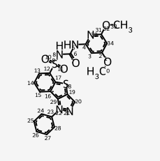 COc1cc(NC(=O)NS(=O)(=O)c2cccc3c2sc2cnn(-c4ccccc4)c23)nc(OC)c1